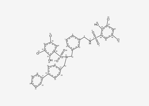 O=S(=O)(NCc1cccc(CN(Cc2ccc(-c3ccccc3)cc2)S(=O)(=O)c2cc(Cl)cc(Cl)c2O)c1)c1cc(Cl)cc(Cl)c1O